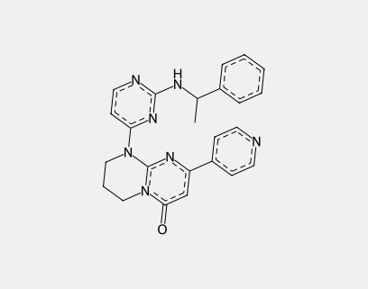 CC(Nc1nccc(N2CCCn3c2nc(-c2ccncc2)cc3=O)n1)c1ccccc1